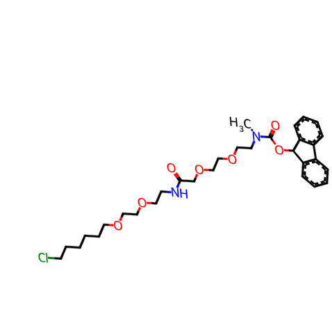 CN(CCOCCOCC(=O)NCCOCCOCCCCCCCl)C(=O)OC1c2ccccc2-c2ccccc21